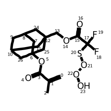 C=C(C)C(=O)OC12CC3CC(CC(COC(=O)C(F)(F)SOOO)(C3)C1)C2